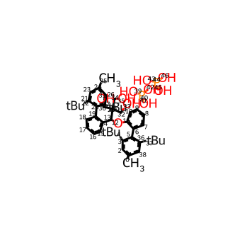 Cc1cc(C(C)(C)C)c(-c2ccccc2OC(c2ccccc2-c2c(C(C)(C)C)cc(C)cc2C(C)(C)C)C(CO)(CO)CO)c(C(C)(C)C)c1.OP(O)O.OP(O)O